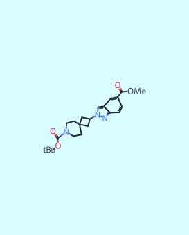 COC(=O)c1ccc2nn(C3CC4(CCN(C(=O)OC(C)(C)C)CC4)C3)cc2c1